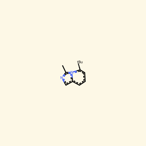 Cc1ncc2cccc(C(C)(C)C)n12